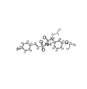 CCCN(C(=O)NS(=O)(=O)/C=C/c1ccc(F)cc1)c1cccc(OC(C)C)c1